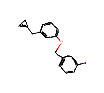 Ic1cccc(COc2cccc(CC3=CC3)c2)c1